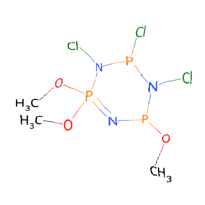 COP1N=P(OC)(OC)N(Cl)P(Cl)N1Cl